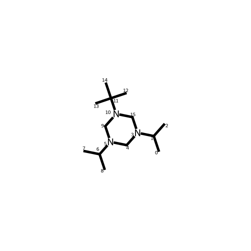 CC(C)N1CN(C(C)C)CN(C(C)(C)C)C1